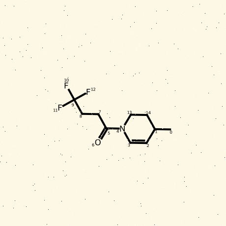 CC1C=CN(C(=O)CCC(F)(F)F)CC1